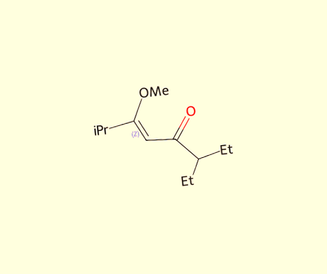 CCC(CC)C(=O)/C=C(\OC)C(C)C